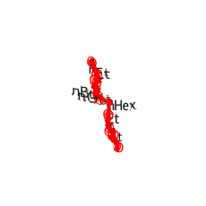 C=CC(=O)OCC1CC2C3CC(CC(C)(CC)OC(=O)c4cccc(C(=O)OCC5CC6C7CC(C(CC)COC(=O)CCCCCCC8C(CCCCCC)CCC(CCCCCCCC)C8CCCCCCC(=O)OCC(CCCC)C8CC9CCC(COC(=O)c%10cccc(C(=O)OC(C)(CC)CC%11CC%12CC%11C%11CC(COC(=O)C(=C)C)C[C@H]%12%11)c%10)CC(C)C8C9)C(C7)C6C5)c4)C(C3)C2C1